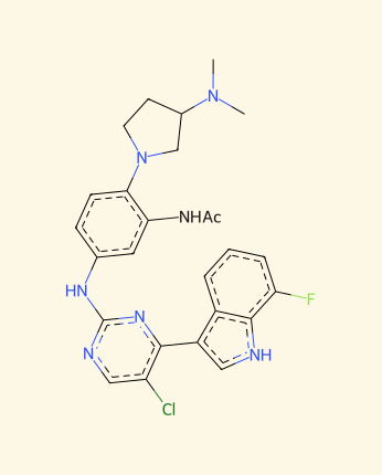 CC(=O)Nc1cc(Nc2ncc(Cl)c(-c3c[nH]c4c(F)cccc34)n2)ccc1N1CCC(N(C)C)C1